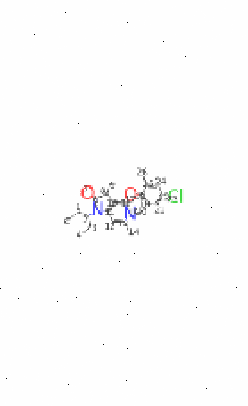 CCC(CC)N1C(=O)C(C)c2c1cc(C)nc2Oc1c(C)cc(Cl)cc1C